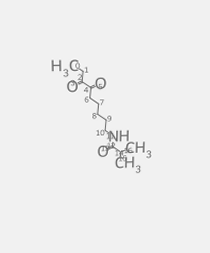 CCC(=O)C(=O)CCCCCNC(=O)C(C)C